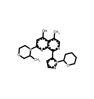 Cc1cnc(-c2ccnn2C2CCCCO2)c2nc(N3CCOCC3C)cc(O)c12